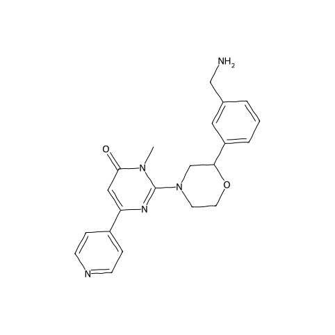 Cn1c(N2CCOC(c3cccc(CN)c3)C2)nc(-c2ccncc2)cc1=O